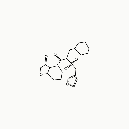 O=C1COC2CCCN(C(=O)C(CC3CCCCC3)S(=O)(=O)Cc3ccoc3)C12